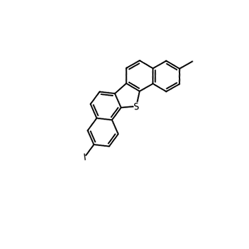 Cc1ccc2c(ccc3c4ccc5cc(I)ccc5c4sc23)c1